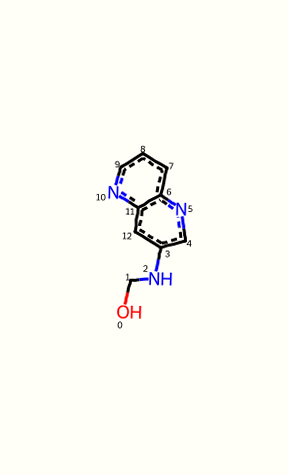 OCNc1cnc2cccnc2c1